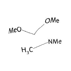 CNC.COCOC